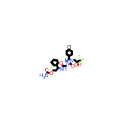 NC(=O)OCCC(NC(=O)Cn1nc(-c2ccc(Cl)cc2)n(C[C@H](O)C(F)(F)F)c1=O)c1ccccc1F